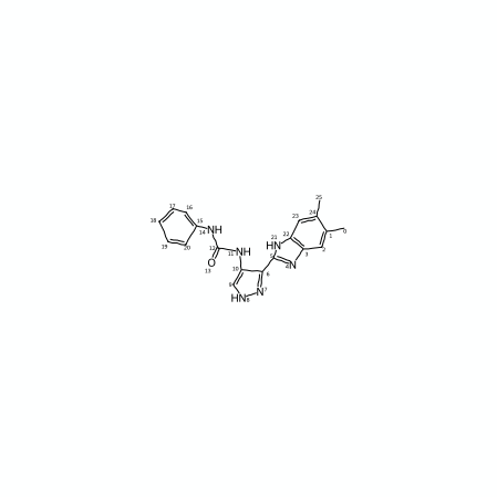 Cc1cc2nc(-c3n[nH]cc3NC(=O)Nc3ccccc3)[nH]c2cc1C